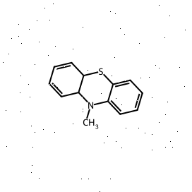 CN1c2ccccc2SC2C=CC=CC21